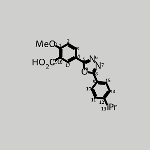 COc1ccc(-c2nnc(-c3ccc(C(C)C)cc3)o2)cc1C(=O)O